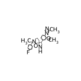 COc1cc(C2CNCC23CCCN(C(C)c2ccc(F)cc2)C3=O)ccc1-n1cnc(C)c1